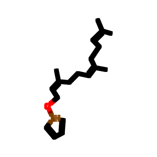 CC(C)=CCCC(C)=CCCC(C)=CCO[SH]1C=CC=C1